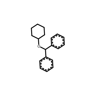 c1ccc(C(OC2CCCCC2)c2ccccc2)cc1